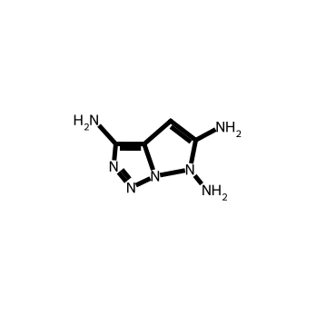 Nc1nnn2c1cc(N)n2N